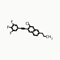 CCCc1ccc2cc(C#Cc3cc(F)c(F)c(F)c3)c(Cl)cc2c1